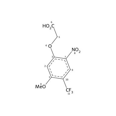 COc1cc(OCC(=O)O)c([N+](=O)[O-])cc1C(F)(F)F